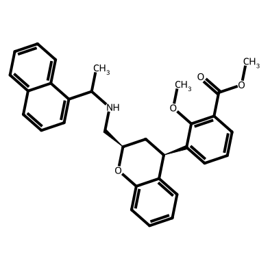 COC(=O)c1cccc([C@@H]2C[C@H](CNC(C)c3cccc4ccccc34)Oc3ccccc32)c1OC